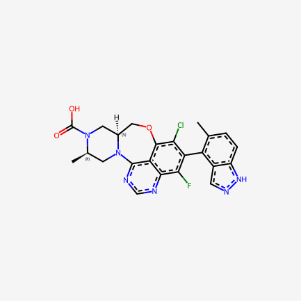 Cc1ccc2[nH]ncc2c1-c1c(Cl)c2c3c(ncnc3c1F)N1C[C@@H](C)N(C(=O)O)C[C@H]1CO2